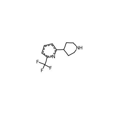 FC(F)(F)c1cccc(C2CCNCC2)n1